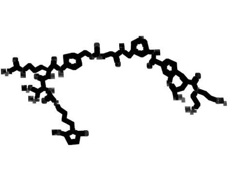 CCCN(CCC)C(=O)C1=Cc2ccc(C(=O)Nc3cncc(CNC(=O)CNC(=O)OCc4ccc(NC(=O)[C@H](CCCNC(N)=O)NC(=O)[C@@H](NC(=O)CCCCCN5C(=O)C=CC5O)C(C)C)cc4)c3)cc2N=C(N)C1